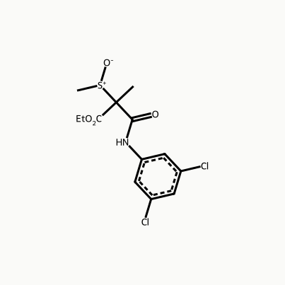 CCOC(=O)C(C)(C(=O)Nc1cc(Cl)cc(Cl)c1)[S+](C)[O-]